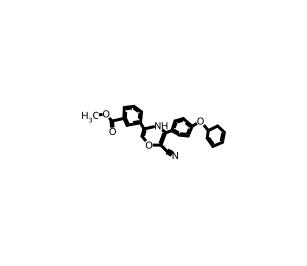 COC(=O)c1cccc(C2=COC(C#N)=C(c3ccc(OC4C=CC=CC4)cc3)N2)c1